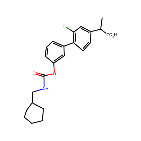 CC(C(=O)O)c1ccc(-c2cccc(OC(=O)NCC3CCCCC3)c2)c(F)c1